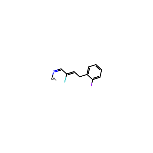 C/N=C\C(F)=CCc1ccccc1I